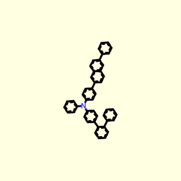 c1ccc(-c2ccc3cc(-c4ccc(N(c5ccccc5)c5ccc(-c6ccccc6-c6ccccc6)cc5)cc4)ccc3c2)cc1